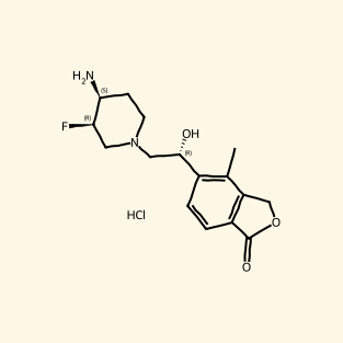 Cc1c([C@@H](O)CN2CC[C@H](N)[C@H](F)C2)ccc2c1COC2=O.Cl